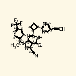 C#Cc1cnc([C@H]2CC[C@@H]2c2nc3c(c(C#N)nn3C(C)c3ccc(C(F)(F)F)nc3)c(=O)[nH]2)nc1